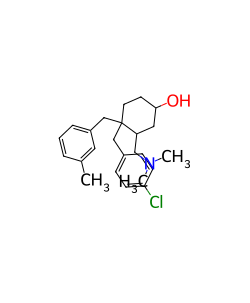 Cc1cccc(CC2(Cc3ccc(Cl)cc3)CCC(O)CC2CN(C)C)c1